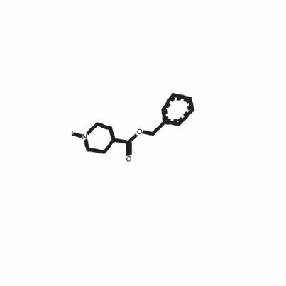 O=C(OCc1ccccc1)C1CCN(I)CC1